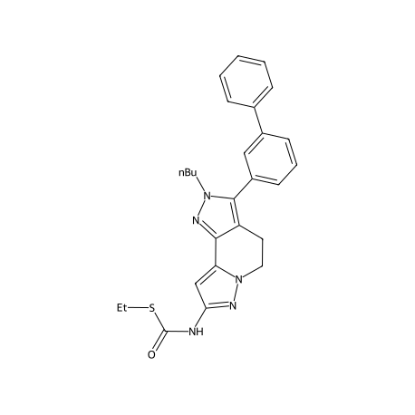 CCCCn1nc2c(c1-c1cccc(-c3ccccc3)c1)CCn1nc(NC(=O)SCC)cc1-2